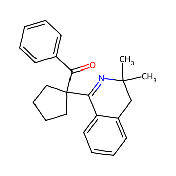 CC1(C)Cc2ccccc2C(C2(C(=O)c3ccccc3)CCCC2)=N1